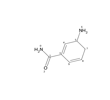 NC(=O)C1=CC(N)CC=C1